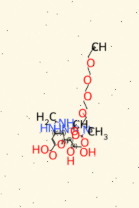 C#CCOCCOCCOCCOCCN(C)C(=O)O[C@@H]([C@H]1OC(C(=O)O)=C[C@@H](NC(=C)N)[C@@H]1NC(C)=O)[C@H](O)CO